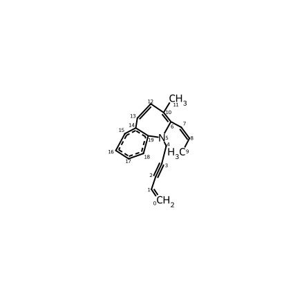 C=CC#CCN1C(/C=C\C)=C(C)C=Cc2ccccc21